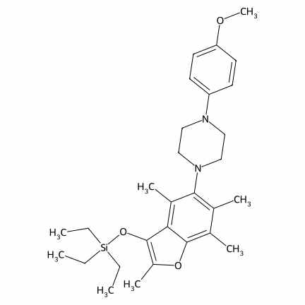 CC[Si](CC)(CC)Oc1c(C)oc2c(C)c(C)c(N3CCN(c4ccc(OC)cc4)CC3)c(C)c12